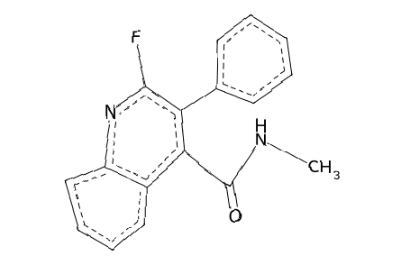 CNC(=O)c1c(-c2ccccc2)c(F)nc2ccccc12